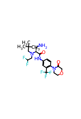 CC(C)(C)CN(CC(F)F)[C@@H](CN)C(=O)Nc1ccc(N2CCOCC2=O)c(C(F)(F)F)c1